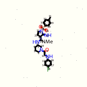 CN/C(N[C@H]1CCCN(C(=O)CNc2ccc(F)cc2)C1)=C1/C=CN(S(=O)(=O)c2ccc(C)cc2)C1=N